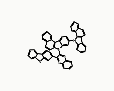 c1ccc2c(c1)ccc1c2c2ccc(-n3c4ccccc4c4ccc5ccccc5c43)cc2n1-c1nc2ccccc2nc1-c1ccc2c(c1)sc1ccccc12